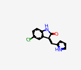 O=C1Nc2ccc(Cl)cc2C1=Cc1ccc[nH]1